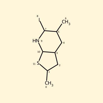 CC1CC2CC(C)C(I)NC2S1